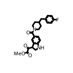 COC(=O)C(=O)C1CNc2ccc(C(=O)N3CCC(Cc4ccc(F)cc4)CC3)cc21